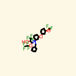 O[C@H](CN(Cc1ccccc1OC(F)(F)C(F)F)c1cccc(Oc2cccc(OC(F)F)c2)c1)C(F)(F)F